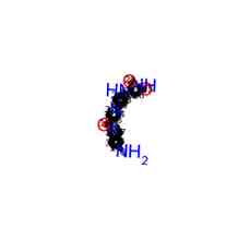 Nc1ccc2c(c1)CCN(C(=O)C1CCN(c3ccc(NC4CCC(=O)NC4=O)cc3)CC1)C2